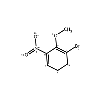 COC1=C(Br)[CH]CC=C1[N+](=O)[O-]